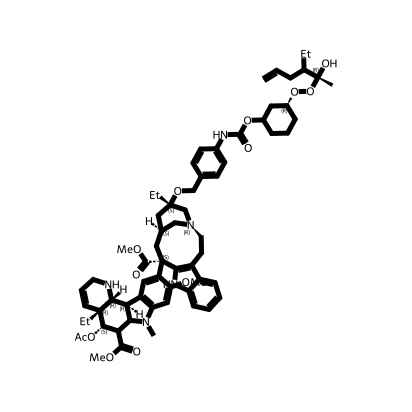 C=CCC(CC)[C@](C)(O)OO[C@@H]1CCCC(OC(=O)Nc2ccc(CO[C@@]3(CC)C[C@H]4C[N@](CCc5c([nH]c6ccccc56)[C@@](C(=O)OC)(c5cc6c(cc5OC)N(C)C5C(C(=O)OC)[C@H](OC(C)=O)[C@]7(CC)C=CCN[C@@H]7[C@@H]65)C4)C3)cc2)C1